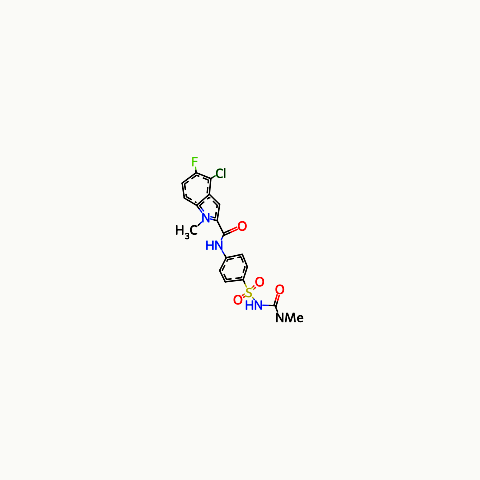 CNC(=O)NS(=O)(=O)c1ccc(NC(=O)c2cc3c(Cl)c(F)ccc3n2C)cc1